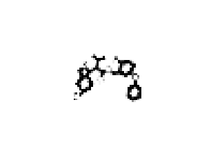 CC(C)C(C(=O)OCc1cc(Oc2ccccc2)ccc1F)c1scc2cc(Cl)ccc12